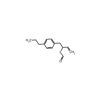 C=CC(Cc1ccc(CCC)cc1)SC=O